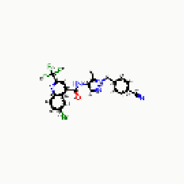 Cc1c(NC(=O)c2cc(C(F)(F)F)nc3ccc(Br)cc23)cnn1Cc1ccc(C#N)cc1